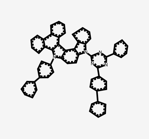 c1ccc(-c2ccc(-c3nc(-c4ccccc4)nc(-n4c5ccccc5c5c6c7c8ccccc8c8ccccc8c7n(-c7ccc(-c8ccccc8)cc7)c6ccc54)n3)cc2)cc1